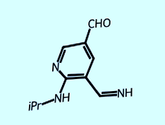 CC(C)Nc1ncc(C=O)cc1C=N